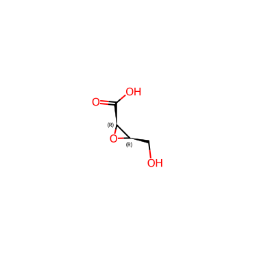 O=C(O)[C@@H]1O[C@@H]1CO